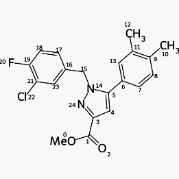 COC(=O)c1cc(-c2ccc(C)c(C)c2)n(Cc2ccc(F)c(Cl)c2)n1